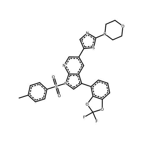 Cc1ccc(S(=O)(=O)n2cc(-c3cccc4c3OC(F)(F)O4)c3cc(-c4cnc(N5CCOCC5)s4)cnc32)cc1